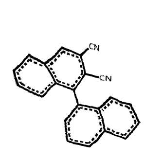 N#Cc1cc2ccccc2c(-c2cccc3ccccc23)c1C#N